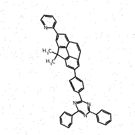 CC1(C)c2cc(-c3ccc(-c4nc(-c5ccccc5)nc(-c5ccccc5)n4)cc3)cc3ccc4cc(-c5ccccn5)cc1c4c23